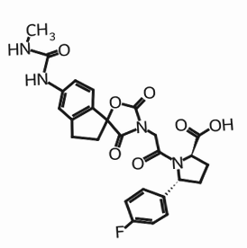 CNC(=O)Nc1ccc2c(c1)CCC21OC(=O)N(CC(=O)N2[C@@H](C(=O)O)CC[C@@H]2c2ccc(F)cc2)C1=O